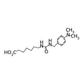 CN(C)c1ccc(CNC(=O)NCCCCCCC(=O)O)cc1